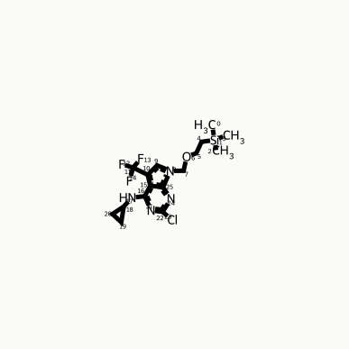 C[Si](C)(C)CCOCn1cc(C(F)(F)F)c2c(NC3CC3)nc(Cl)nc21